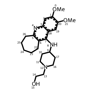 COc1cc2nc3c(c(NC4CCN(CCO)CC4)c2cc1OC)CCCCC3